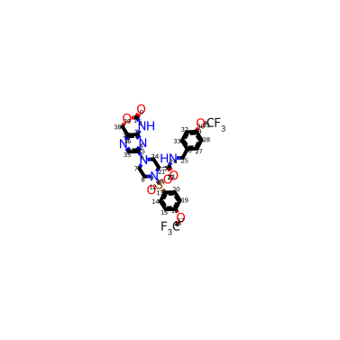 O=C1Nc2nc(N3CCN(S(=O)(=O)c4ccc(OC(F)(F)F)cc4)[C@@H](C(=O)NCc4ccc(OC(F)(F)F)cc4)C3)cnc2CO1